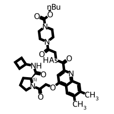 CCCCOC(=O)N1CCN(C(=O)C[AsH]C(=O)c2cc(OCC(=O)N3CCC[C@H]3C(=O)NC3CCC3)c3cc(C)c(C)cc3n2)CC1